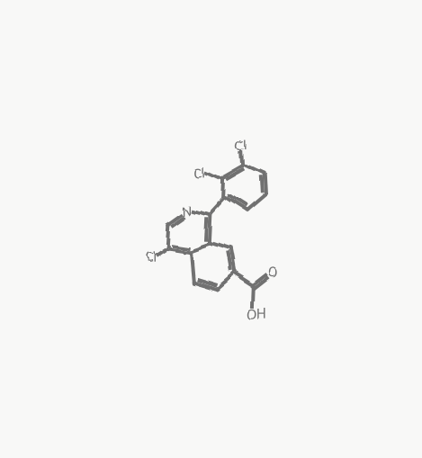 O=C(O)c1ccc2c(Cl)cnc(-c3cccc(Cl)c3Cl)c2c1